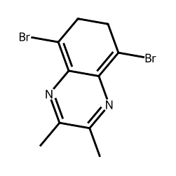 Cc1nc2c(nc1C)=C(Br)CCC=2Br